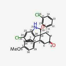 COc1ccc(C2=CC(=O)C[C@@H](c3cccc(Cl)c3)[C@]23C(=O)Nc2cc(Cl)ccc23)cc1